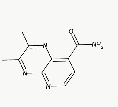 Cc1nc2n[c]cc(C(N)=O)c2nc1C